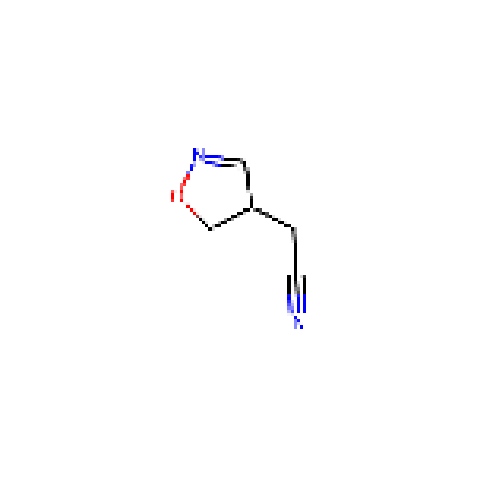 N#CCC1C=NOC1